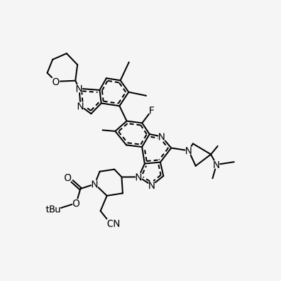 Cc1cc2c(cnn2C2CCCCO2)c(-c2c(C)cc3c(nc(N4CC(C)(N(C)C)C4)c4cnn(C5CCN(C(=O)OC(C)(C)C)C(CC#N)C5)c43)c2F)c1C